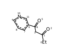 CCC(=O)CC(=O)c1cccnc1